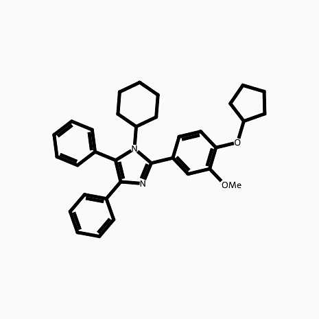 COc1cc(-c2nc(-c3ccccc3)c(-c3ccccc3)n2C2CCCCC2)ccc1OC1CCCC1